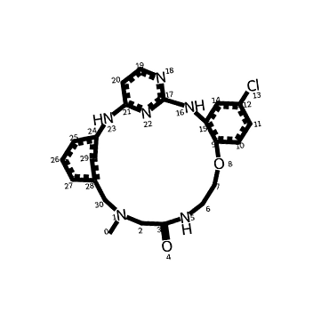 CN1CC(=O)NCCOc2ccc(Cl)cc2Nc2nccc(n2)Nc2cccc(c2)C1